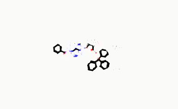 COc1ccc(C(OC[C@H]2O[C@@H](n3cnc4c(NC(=O)c5ccccc5)ncnc43)[C@H](SC)[C@@H]2O)(c2ccccc2)c2ccc(OC)cc2)cc1